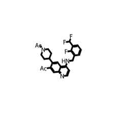 CC(=O)c1cc2nccc(NCc3cccc(C(F)F)c3F)c2cc1C1CCN(C(C)=O)CC1